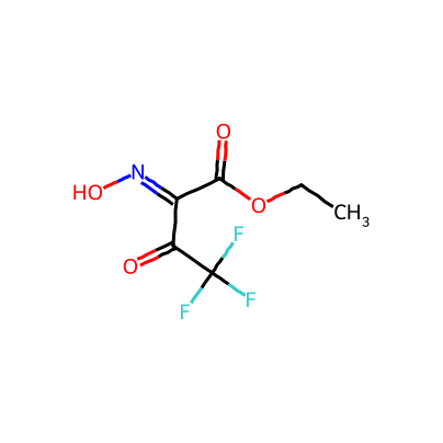 CCOC(=O)/C(=N/O)C(=O)C(F)(F)F